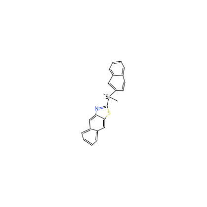 C[Si](C)(c1ccc2ccccc2c1)c1nc2cc3ccccc3cc2s1